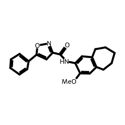 COc1cc2c(cc1NC(=O)c1cc(-c3ccccc3)on1)CCCCC2